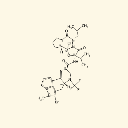 CC(C)C[C@H]1C(=O)N2CCC[C@H]2[C@]2(O)O[C@](NC(=O)[C@@H]3C=C4c5cccc6c5c(c(Br)n6C)C[C@H]4N(C(F)(F)F)C3)(C(C)C)C(=O)N12